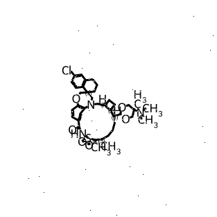 C[C@@H]1[C@@H](C)CCC[C@H]([C@H]2OC[C@@](C)(N(C)C)CO2)[C@@H]2CC[C@H]2CN2C[C@@]3(CCCc4cc(Cl)ccc43)COc3ccc(cc32)C(=O)NS1(=O)=O